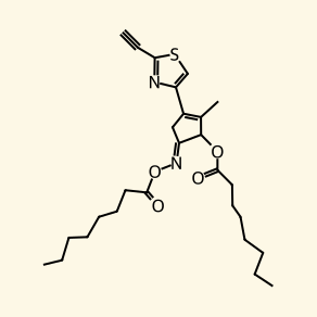 C#Cc1nc(C2=C(C)C(OC(=O)CCCCCCC)/C(=N/OC(=O)CCCCCCC)C2)cs1